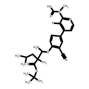 CC(C)CC(C)(C(=O)OC(C)(C)C)C(N)Oc1ccc(-c2ccnc(N(C)C(=O)O)c2F)cc1C#N